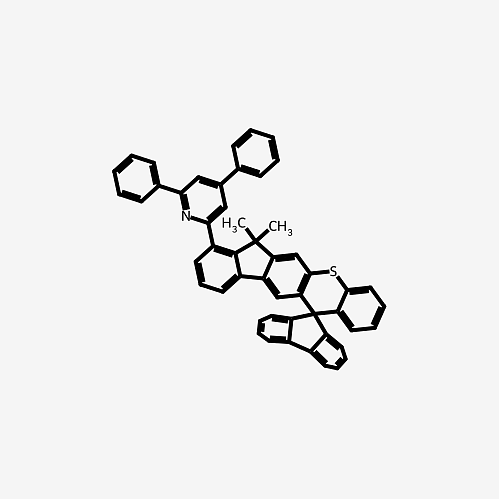 CC1(C)c2cc3c(cc2-c2cccc(-c4cc(-c5ccccc5)cc(-c5ccccc5)n4)c21)C1(c2ccccc2S3)c2ccccc2-c2ccccc21